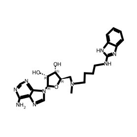 CN(CCCCNc1nc2ccccc2[nH]1)C[C@H]1O[C@@H](n2cnc3c(N)ncnc32)[C@H](O)[C@@H]1O